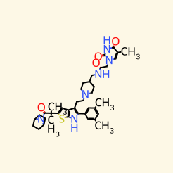 Cc1cc(C)cc(-c2[nH]c3sc(C(C)(C)C(=O)N4C5CCC4CC5)cc3c2CCN2CCC(CNC(=O)Cn3cc(C)c(=O)[nH]c3=O)CC2)c1